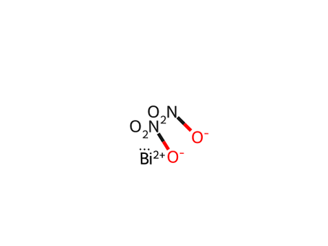 O=[N+]([O-])[O-].O=[N+]([O-])[O-].[Bi+2]